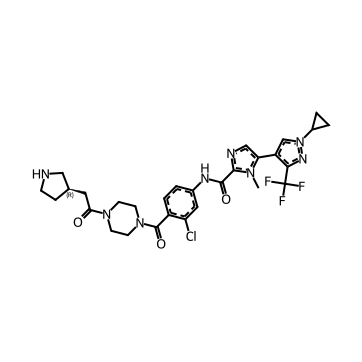 Cn1c(-c2cn(C3CC3)nc2C(F)(F)F)cnc1C(=O)Nc1ccc(C(=O)N2CCN(C(=O)C[C@H]3CCNC3)CC2)c(Cl)c1